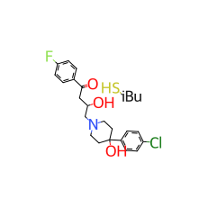 CCC(C)S.O=C(CC(O)CN1CCC(O)(c2ccc(Cl)cc2)CC1)c1ccc(F)cc1